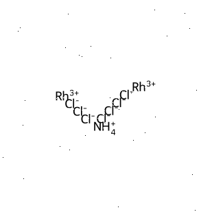 [Cl-].[Cl-].[Cl-].[Cl-].[Cl-].[Cl-].[Cl-].[NH4+].[Rh+3].[Rh+3]